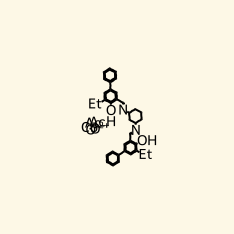 CC(=O)[O-].CC(=O)[O-].CCc1cc(-c2ccccc2)cc(C=NC2CCCC(N=Cc3cc(-c4ccccc4)cc(CC)c3O)C2)c1O.[Co+2]